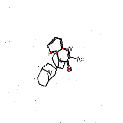 CC(=O)c1nc2ccccc2n(C2CC3CCCC(C2)N3[C@H]2C[C@@H]3CCC[C@@H](C3)C2)c1=O